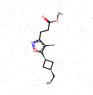 CC(C)(C)C[C@H]1C[C@@H](c2onc(CCC(=O)OC(C)(C)C)c2Br)C1